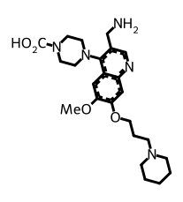 COc1cc2c(N3CCN(C(=O)O)CC3)c(CN)cnc2cc1OCCCN1CCCCC1